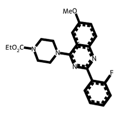 CCOC(=O)N1CCN(c2nc(-c3ccccc3F)nc3ccc(OC)cc23)CC1